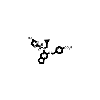 Cc1csc(S(=O)(=O)N(CC2CC2)c2cc3c(cc2OCc2ccc(C(=O)O)cc2)CCC3)n1